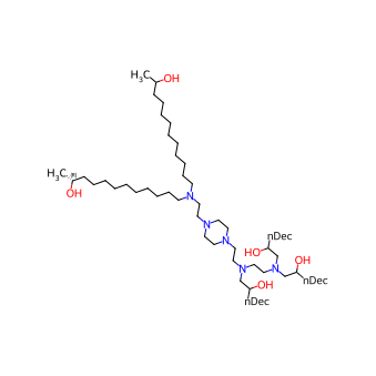 CCCCCCCCCCC(O)CN(CCN1CCN(CCN(CCCCCCCCCCC(C)O)CCCCCCCCCC[C@@H](C)O)CC1)CCN(CC(O)CCCCCCCCCC)CC(O)CCCCCCCCCC